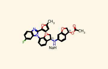 CC(=O)O[C@@H]1COc2cc(N[C@@H]3COc4c3cccc4-n3c(-c4ccc(C)o4)nc4ccc(F)cc43)ccc21.[NaH]